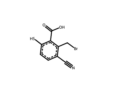 N#Cc1ccc(S)c(C(=O)O)c1CBr